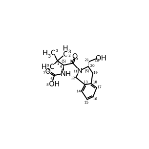 CC(C)(C)[C@H](NC(=O)O)C(=O)N1Cc2ccccc2C[C@H]1CO